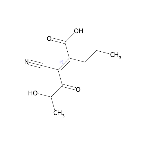 CCC/C(C(=O)O)=C(/C#N)C(=O)C(C)O